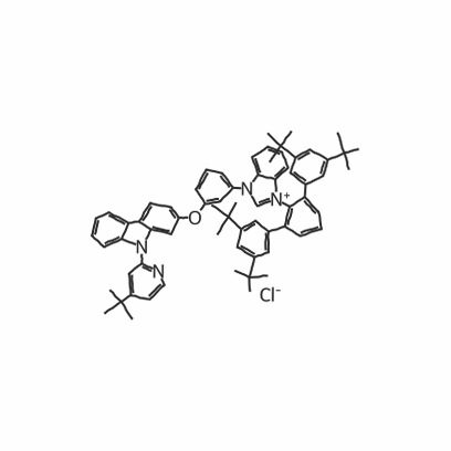 CC(C)(C)c1cc(-c2cccc(-c3cc(C(C)(C)C)cc(C(C)(C)C)c3)c2-[n+]2cn(-c3cccc(Oc4ccc5c6ccccc6n(-c6cc(C(C)(C)C)ccn6)c5c4)c3)c3ccccc32)cc(C(C)(C)C)c1.[Cl-]